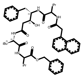 CC[C@H](C)[C@H](NC(=O)C[C@H](O)[C@H](Cc1ccccc1)NC(=O)C(NC(=O)Cc1cccc2ccccc12)C(C)C)C(=O)NC(C(=O)OCc1ccccc1)C(C)C